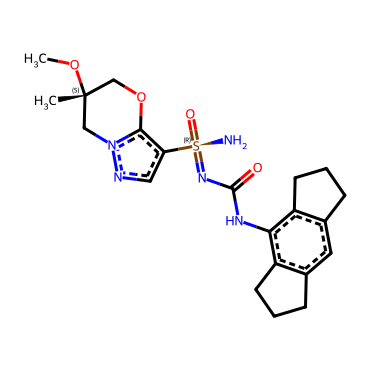 CO[C@]1(C)COc2c([S@](N)(=O)=NC(=O)Nc3c4c(cc5c3CCC5)CCC4)cnn2C1